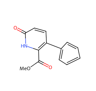 COC(=O)c1[nH]c(=O)ccc1-c1ccccc1